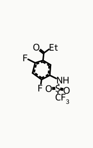 CCC(=O)c1cc(NS(=O)(=O)C(F)(F)F)c(F)cc1F